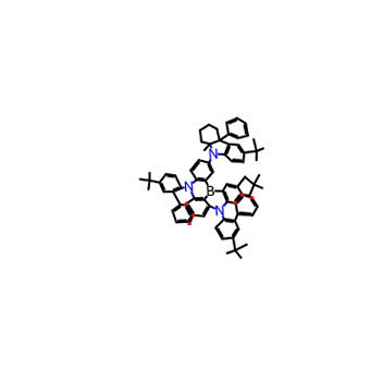 Cc1cc2c3c(c1)N(c1ccc(C(C)(C)C)cc1-c1ccccc1)c1cc4c(cc1B3c1cc(N3c5ccc(C(C)(C)C)cc5C5(c6ccccc6)CCCCC35C)ccc1N2c1ccc(C(C)(C)C)cc1-c1ccccc1)CC(C)(C)C4